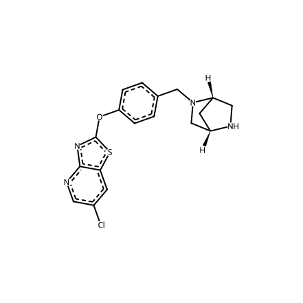 Clc1cnc2nc(Oc3ccc(CN4C[C@@H]5C[C@H]4CN5)cc3)sc2c1